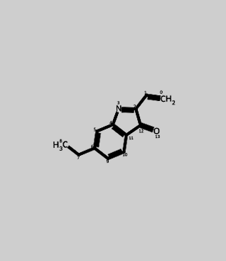 C=CC1=Nc2cc(CC)ccc2C1=O